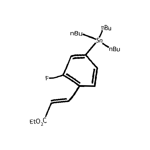 CCC[CH2][Sn]([CH2]CCC)([CH2]CCC)[c]1ccc(C=CC(=O)OCC)c(F)c1